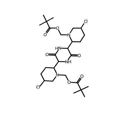 CC(C)(C)C(=O)OCN1CC(Cl)CCC1C1NC(=O)C(C2CCC(Cl)CN2COC(=O)C(C)(C)C)NC1=O